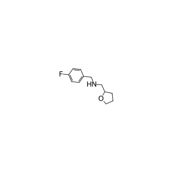 Fc1ccc(CNCC2CCCO2)cc1